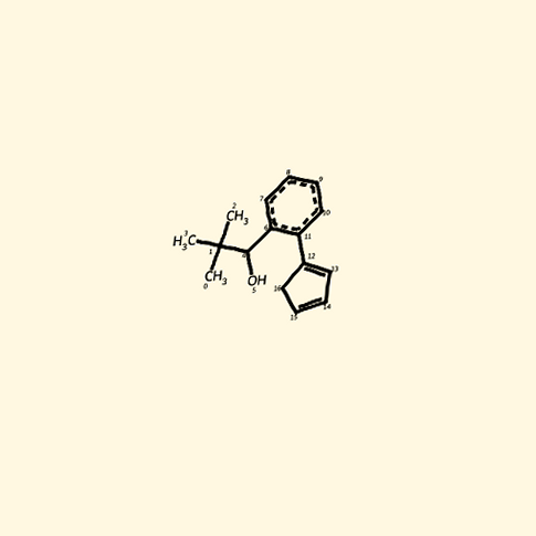 CC(C)(C)C(O)c1ccccc1C1=CC=CC1